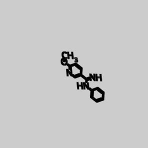 COc1ccc(C(=N)Nc2ccccc2)cn1